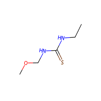 CCNC(=S)NCOC